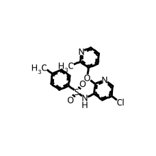 Cc1ccc(S(=O)(=O)Nc2cc(Cl)cnc2Oc2cccnc2C)cc1